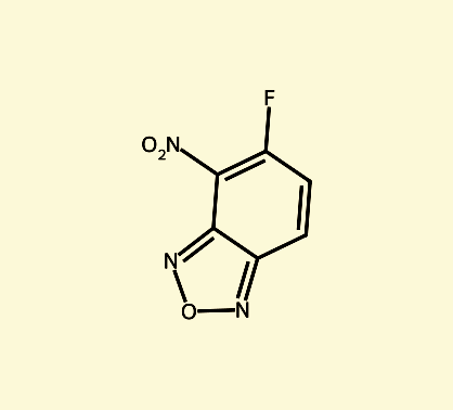 O=[N+]([O-])c1c(F)ccc2nonc12